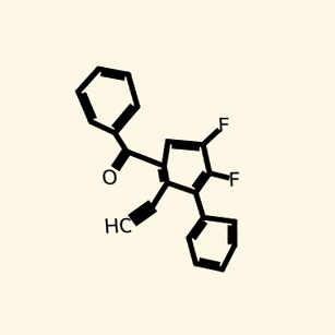 C#Cc1c(C(=O)c2ccccc2)cc(F)c(F)c1-c1ccccc1